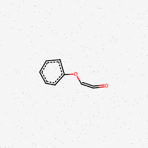 O=C=COc1ccccc1